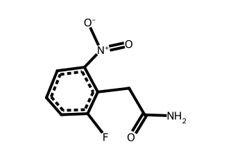 NC(=O)Cc1c(F)cccc1[N+](=O)[O-]